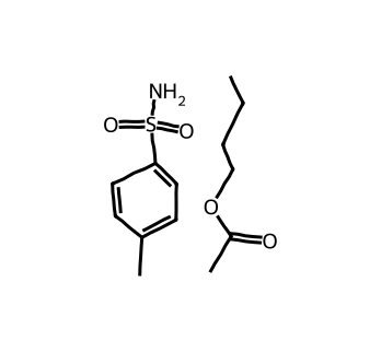 CCCCOC(C)=O.Cc1ccc(S(N)(=O)=O)cc1